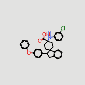 O=C(O)C1(Nc2cccc(Cl)c2)CCC2(CC1)c1ccccc1CC2c1ccc(Oc2ccccc2)cc1